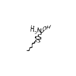 CCCCCCCOc1ccc(CCC(N)CO)cc1